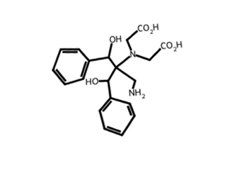 NCC(C(O)c1ccccc1)(C(O)c1ccccc1)N(CC(=O)O)CC(=O)O